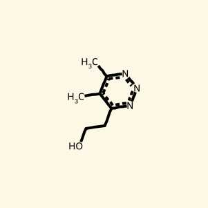 Cc1nnnc(CCO)c1C